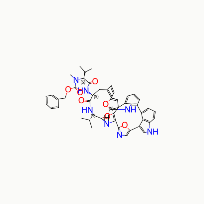 CC(C)[C@@H]1NC(=O)[C@@H](NC(=O)[C@H](C(C)C)N(C)C(=O)OCc2ccccc2)Cc2ccc3c(c2)C24c5cccc(c5N[C@H]2O3)-c2cccc3[nH]cc(c23)-c2cnc(o2)-c2nc1oc24